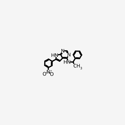 CC(Nc1ncnc2[nH]c(-c3cccc([N+](=O)[O-])c3)cc12)c1ccccc1